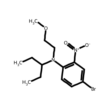 CCC(CC)N(CCOC)c1ccc(Br)cc1[N+](=O)[O-]